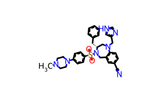 CN1CCN(c2ccc(S(=O)(=O)N3Cc4cc(C#N)ccc4N(Cc4c[nH]cn4)C[C@H]3Cc3ccccc3)cc2)CC1